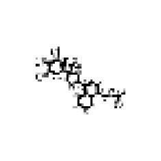 CC(=O)OCc1ccc(C2=NCC(c3cc(Cl)c(Cl)c(Cl)c3)(C(F)(F)F)C2)c2ccccc12